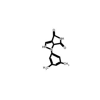 Cc1cc(C)cc(N2NC=C3C(=O)NC(=O)C32)c1